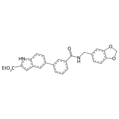 CCOC(=O)c1cc2cc(-c3cccc(C(=O)NCc4ccc5c(c4)OCO5)c3)ccc2[nH]1